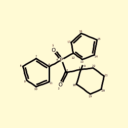 CC1(C(=O)P(=O)(c2ccccc2)c2ccccc2)CCCCC1